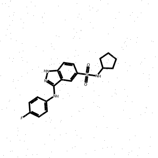 O=S(=O)(NC1CCCC1)c1ccc2[nH]nc(Nc3ccc(F)cc3)c2c1